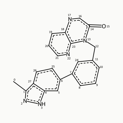 Cc1n[nH]c2cc(-c3cccc(Cn4c(=O)cnc5cccnc54)c3)ccc12